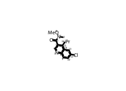 CON(C)C(=O)c1cnc2ccc(Cl)cc2c1C(C)C